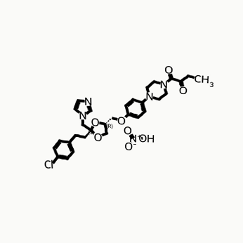 CCC(=O)C(=O)N1CCN(c2ccc(OC[C@@H]3CO[C@](CCc4ccc(Cl)cc4)(Cn4ccnc4)O3)cc2)CC1.O=[N+]([O-])O